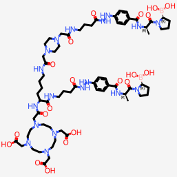 C[C@@H](NC(=O)c1ccc(NNC(=O)CCCNC(=O)CN2CCN(CC(=O)NCCCCC(NC(=O)CN3CCN(CC(=O)O)CCN(CC(=O)O)CCN(CC(=O)O)CC3)C(=O)NCCCC(=O)NNc3ccc(C(=O)N[C@H](C)C(=O)N4CCC[C@H]4B(O)O)cc3)CC2)cc1)C(=O)N1CCC[C@H]1B(O)O